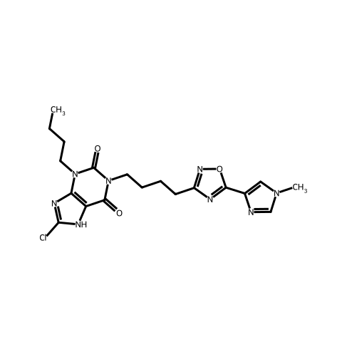 CCCCn1c(=O)n(CCCCc2noc(-c3cn(C)cn3)n2)c(=O)c2[nH]c(Cl)nc21